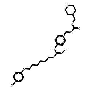 N#CN=C(NCCCCCCOc1ccc(Cl)cc1)Nc1cc[n+](COC(=O)OCC2CCNCC2)cc1